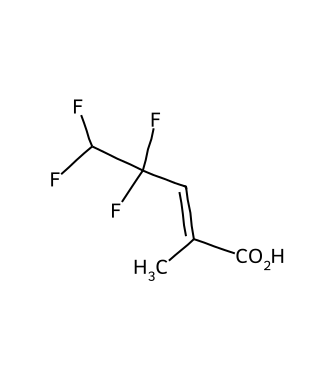 C/C(=C\C(F)(F)C(F)F)C(=O)O